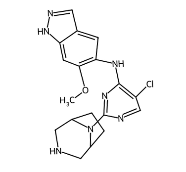 COc1cc2[nH]ncc2cc1Nc1nc(N2C3CCC2CNC3)ncc1Cl